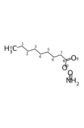 CCCCCCCCC(=O)OON